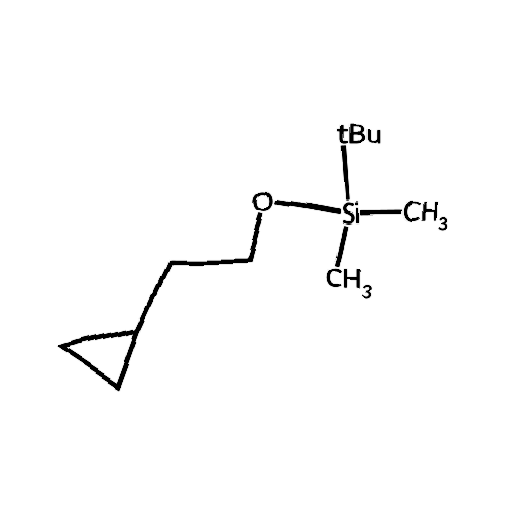 CC(C)(C)[Si](C)(C)OCCC1CC1